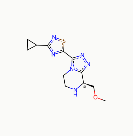 COC[C@H]1NCCn2c(-c3nc(C4CC4)ns3)nnc21